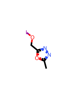 Cc1nnc(COI)o1